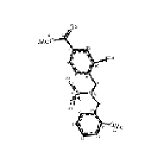 COC(=O)c1ccc(CN(Cc2ccccc2OC)[SH](=O)=O)c(F)c1